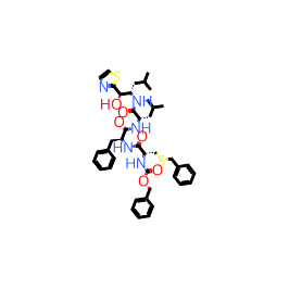 CC(C)C[C@H](NC(=O)[C@H](Cc1ccccc1)NC(=O)[C@H](CSCc1ccccc1)NC(=O)OCc1ccccc1)C(=O)N[C@@H](CC(C)C)[C@@H](O)c1nccs1